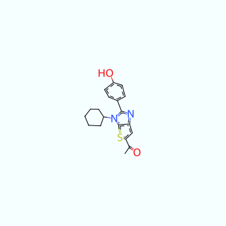 CC(=O)c1cc2nc(-c3ccc(O)cc3)n(C3CCCCC3)c2s1